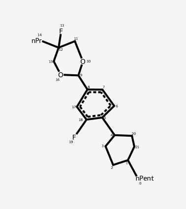 CCCCCC1CCC(c2ccc(C3OCC(F)(CCC)CO3)cc2F)CC1